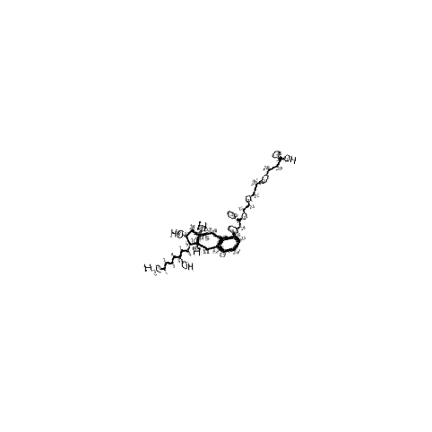 CCCCC[C@H](O)CC[C@@H]1[C@H]2Cc3cccc(OCC(=O)OCCOCCOCCC(=O)O)c3C[C@H]2C[C@H]1O